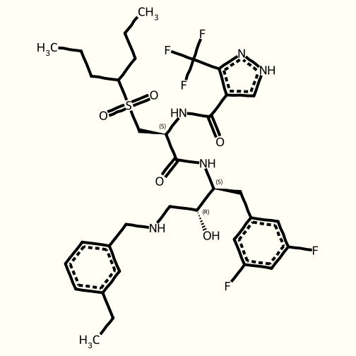 CCCC(CCC)S(=O)(=O)C[C@@H](NC(=O)c1c[nH]nc1C(F)(F)F)C(=O)N[C@@H](Cc1cc(F)cc(F)c1)[C@H](O)CNCc1cccc(CC)c1